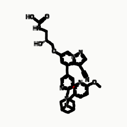 COc1ccc(CN2C3CC2CN(c2ccc(-c4cc(OC[C@H](O)CNC(=O)O)cn5ncc(C#N)c45)cn2)C3)cn1